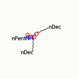 CCCCCCCCCCCCCCCCCCOC[C@H](COC(=O)NCCCCC)OCCCCCCCCCCCCCCCCCC